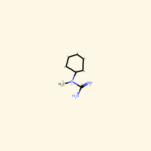 CN(C(=N)N)C1CCCCC1